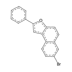 Brc1ccc2c(ccc3oc(-c4ccccc4)cc32)c1